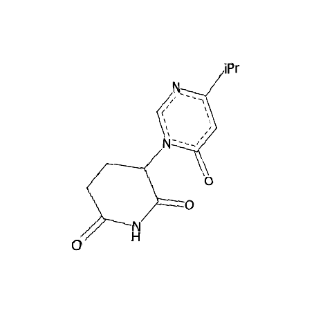 CC(C)c1cc(=O)n(C2CCC(=O)NC2=O)cn1